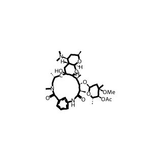 CO[C@]1(C)C[C@H](O[C@H]2[C@H](C)[C@H]3O[C@@H]4O[C@H](C)C[C@H](N(C)C)[C@H]4C[C@@]3(O)C[C@@H](C)CN(C)C(=O)c3cccc(c3)NC(=O)[C@@H]2C)O[C@@H](C)[C@@H]1OC(C)=O